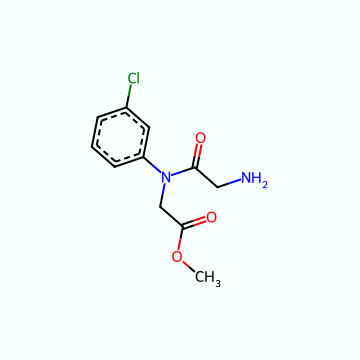 COC(=O)CN(C(=O)CN)c1cccc(Cl)c1